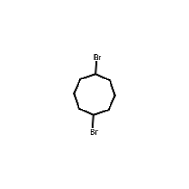 BrC1CCCC(Br)CCC1